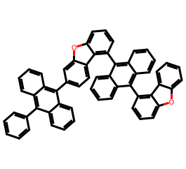 c1ccc(-c2c3ccccc3c(-c3ccc4c(c3)oc3cccc(-c5c6ccccc6c(-c6cccc7oc8ccccc8c67)c6ccccc56)c34)c3ccccc23)cc1